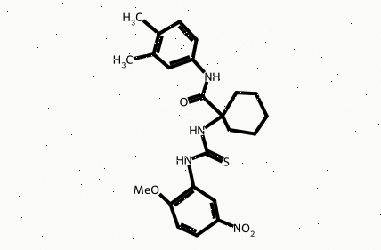 COc1ccc([N+](=O)[O-])cc1NC(=S)NC1(C(=O)Nc2ccc(C)c(C)c2)CCCCC1